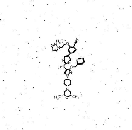 C[C@@H]1CN([C@H]2CC[C@H](n3cc(Nc4ncc(-c5ccc(C#N)c(O[C@@H](C)Cn6cnnn6)c5)cn4)c(OCc4ccccn4)n3)CC2)C[C@H](C)O1